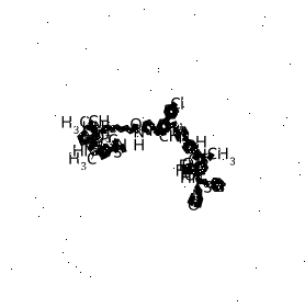 C/C=S(\NC(=O)c1ccc(N2CCN(CC3=C(c4ccc(Cl)cc4)CCC(C)(CN4CCC[C@@H](NC(=O)CCCCCCC(=O)N[C@H](C(=O)N5CCC[C@H]5C(=O)N[C@@H](C)c5ccc(-c6scnc6C)cc5)C(C)(C)C)C4)C3)CC2)cc1)c1ccc(N[C@H](CCN2CCOCC2)CSc2ccccc2)c(S(=O)(=O)C(F)(F)F)c1